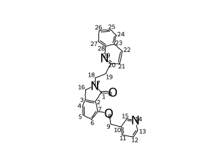 O=C1c2c(cccc2OCc2cccnc2)CN1CCc1ccc2ccccc2n1